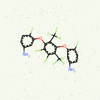 Nc1ccc(F)c(Oc2c(F)c(F)c(C(F)(F)F)c(Oc3cc(N)ccc3F)c2C(F)(F)F)c1